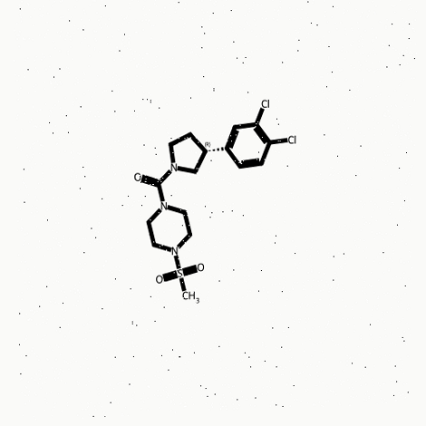 CS(=O)(=O)N1CCN(C(=O)N2CC[C@H](c3ccc(Cl)c(Cl)c3)C2)CC1